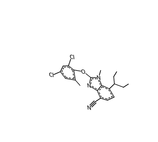 CCC(CC)c1ccc(C#N)c2nc(Oc3c(C)cc(Cl)cc3Cl)n(C)c12